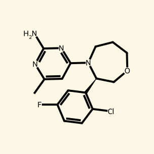 Cc1cc(N2CCCOC[C@H]2c2cc(F)ccc2Cl)nc(N)n1